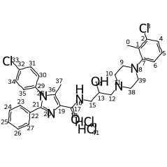 Cc1c(Cl)cccc1N1CCN(CC(O)CNC(=O)c2nc(-c3ccccc3)n(-c3ccc(Cl)cc3)c2C)CC1.Cl.Cl